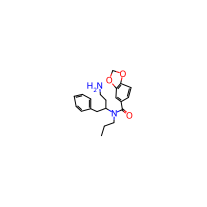 CCCN(C(=O)c1ccc2c(c1)OCO2)C(CCN)Cc1ccccc1